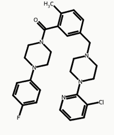 Cc1ccc(CN2CCN(c3ncccc3Cl)CC2)cc1C(=O)N1CCN(c2ccc(F)cc2)CC1